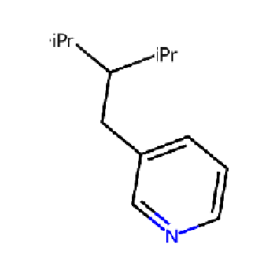 C[C](C)C(Cc1cccnc1)C(C)C